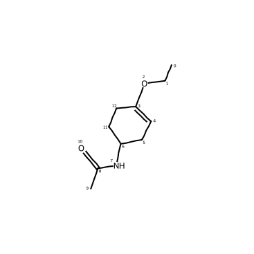 CCOC1=CCC(NC(C)=O)CC1